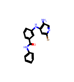 Nc1cnc(Br)cc1Nc1cccc(C(=O)Nc2ccccc2)c1